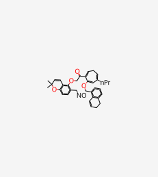 CCCC1=CCC=C(C(=O)COc2c(CN=O)ccc3c2C=CC(C)(C)O3)C(OCc2cccc3c2C=CCC3)=C1